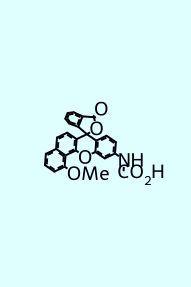 COc1cccc2ccc3c(c12)Oc1cc(NC(=O)O)ccc1C31OC(=O)c2ccccc21